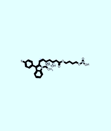 CC(C)n1c(/C=C\[C@@H](O)C[C@@H](O)CC(=O)OCCCCO[N+](=O)O)c(-c2ccc(F)cc2)c2ccccc21